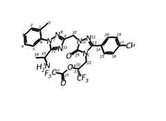 Cc1ccccc1-n1nc(Cn2nc(-c3ccc(Cl)cc3)n(C[C@H](OC(=O)C(F)(F)F)C(F)(F)F)c2=O)nc1C(C)N